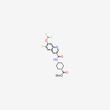 COC(=O)[C@H]1CC[C@H](NC(=O)c2cnc3cc(OC(F)F)c(F)cc3c2)CC1